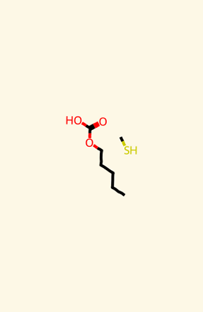 CCCCCOC(=O)O.CS